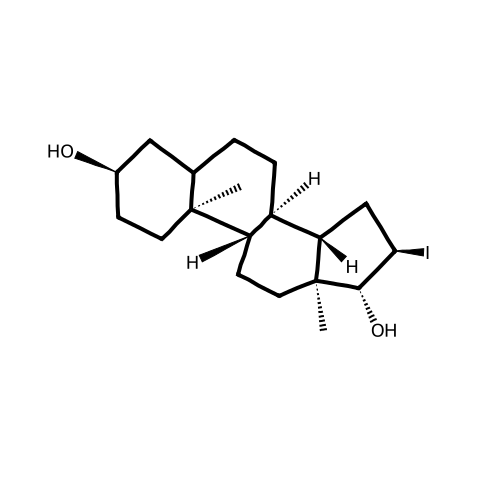 C[C@]12CC[C@H]3[C@@H](CCC4C[C@H](O)CC[C@@]43C)[C@@H]1C[C@@H](I)[C@@H]2O